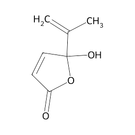 C=C(C)C1(O)C=CC(=O)O1